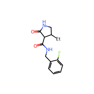 CCC1CNC(=O)C1C(=O)NCc1ccccc1F